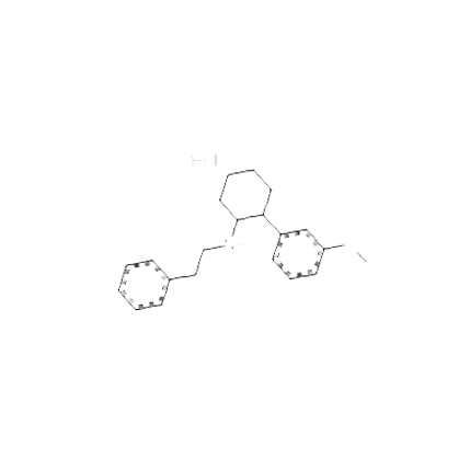 COc1cccc(C2CCCCC2NCCc2ccccc2)c1.Cl